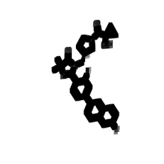 CC1(C)N=C(c2ccc(-c3ccc4cc(F)ccc4c3)cc2F)N(C[C@@H]2CCN(C(=O)C3(O)CC3)C2)C1=O